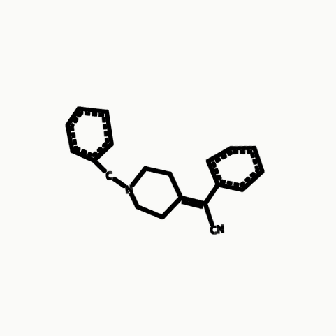 N#CC(=C1CCN(Cc2ccccc2)CC1)c1ccccc1